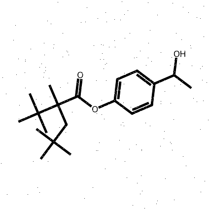 CC(O)c1ccc(OC(=O)C(C)(CC(C)(C)C)C(C)(C)C)cc1